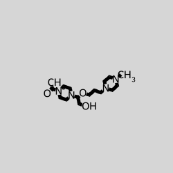 CC(=O)N1CCN(C(CO)OCCCN2CCN(C)CC2)CC1